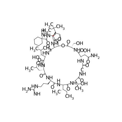 CC[C@H](C)C1NC(=O)[C@@H](CCCNC(=N)N)NC(=O)[C@H](CC(C)C)NC(=O)[C@H]([C@H](O)C(C)C)NC(=O)[C@@H](NC(=O)[C@H](CC(C)(C)C)NC(=O)C2(N)CCCCC2)[C@@H](c2ccccc2)OC(=O)[C@H](CO)NC(=O)[C@H]([C@H](O)C(N)=O)NC(=O)CNC(=O)[C@H]([C@H](C)O)NC1=O